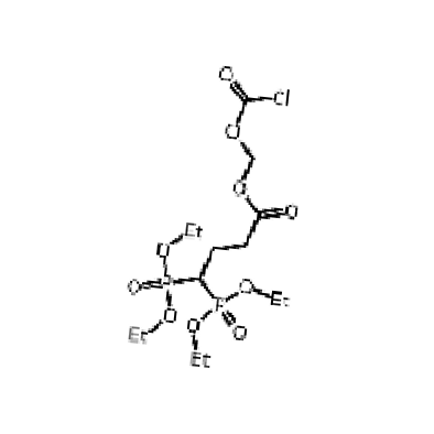 CCOP(=O)(OCC)C(CCC(=O)OCOC(=O)Cl)P(=O)(OCC)OCC